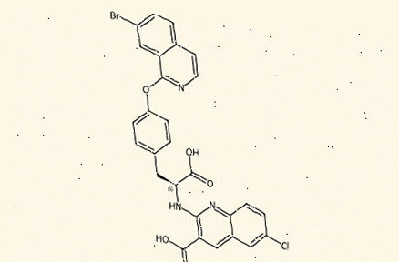 O=C(O)c1cc2cc(Cl)ccc2nc1N[C@@H](Cc1ccc(Oc2nccc3ccc(Br)cc23)cc1)C(=O)O